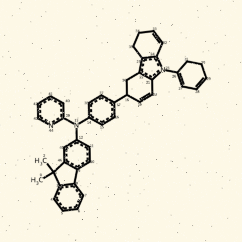 CC1(C)c2ccccc2-c2ccc(N(c3ccc(C4C=Cc5c(c6c(n5C5=CC=CCC5)C=CCC6)C4)cc3)c3ccccn3)cc21